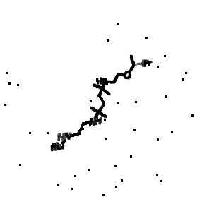 CC(C)[C@@H](C)OCCNC(C)(C)CCC(C)(C)NCCNC(C)(C)C